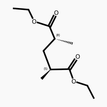 CCOC(=O)[C@H](C)C[C@H](C)C(=O)OCC